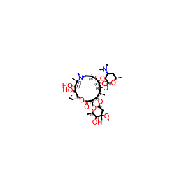 CC[C@H]1OC(=O)[C@H](C)[C@@H](O[C@H]2CC(C)(OC)[C@@H](O)[C@@H](C)O2)[C@H](C)[C@@H](O[C@@H]2O[C@H](C)CC(N(C)C)C2O)[C@](C)(O)C[C@@H](C)CN(C)[C@H](C)[C@@H](O)[C@]1(C)O